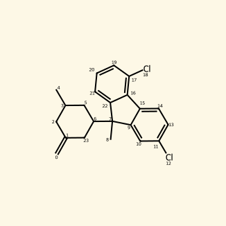 C=C1CC(C)CC(C2(C)c3cc(Cl)ccc3-c3c(Cl)cccc32)C1